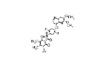 COc1cc2nccc(Oc3cc(F)c(NC(=O)c4c(C)n(C)c(C)c(C5CC5)c4=O)cc3F)c2nc1OC